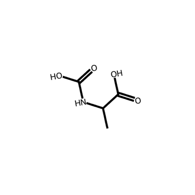 CC(NC(=O)O)C(=O)O